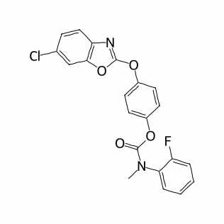 CN(C(=O)Oc1ccc(Oc2nc3ccc(Cl)cc3o2)cc1)c1ccccc1F